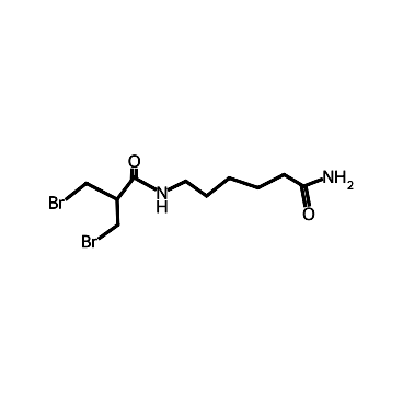 NC(=O)CCCCCNC(=O)C(CBr)CBr